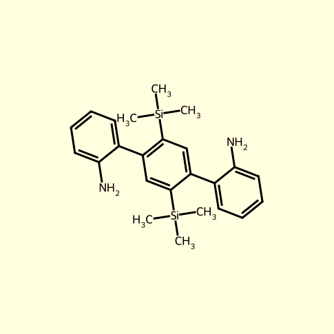 C[Si](C)(C)c1cc(-c2ccccc2N)c([Si](C)(C)C)cc1-c1ccccc1N